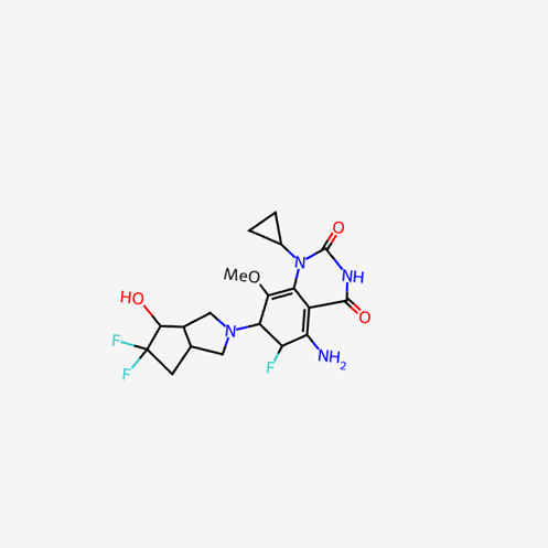 COC1=c2c(c(=O)[nH]c(=O)n2C2CC2)=C(N)C(F)C1N1CC2CC(F)(F)C(O)C2C1